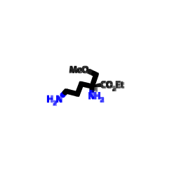 CCOC(=O)[C@@](N)(CCCN)COC